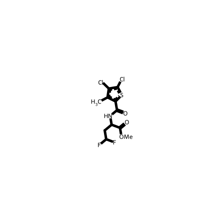 COC(=O)C(CC(F)F)NC(=O)c1sc(Cl)c(Cl)c1C